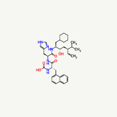 C=C[C@@H](C[C@H](O)[C@H](CC1CCCCC1)NC(=O)[C@H](Cc1c[nH]cn1)NC(=O)[C@H](Cc1cccc2ccccc12)NC(=O)O)C(C)C